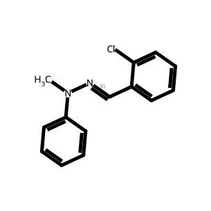 CN(/N=C/c1ccccc1Cl)c1ccccc1